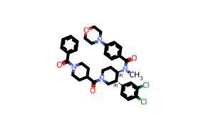 CN(C(=O)c1ccc(N2CCOCC2)cc1)[C@@H]1CCN(C(=O)C2CCN(C(=O)c3ccccc3)CC2)C[C@H]1c1ccc(Cl)c(Cl)c1